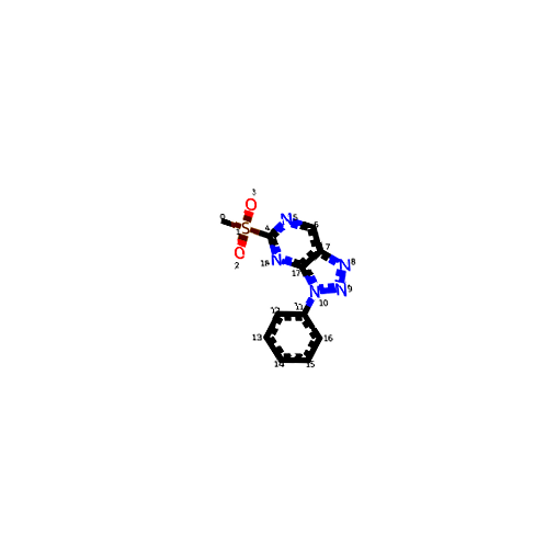 CS(=O)(=O)c1ncc2nnn(-c3ccccc3)c2n1